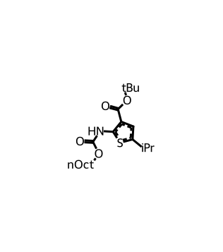 CCCCCCCCOC(=O)Nc1sc(C(C)C)cc1C(=O)OC(C)(C)C